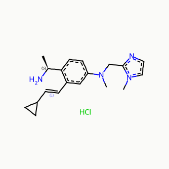 C[C@H](N)c1ccc(N(C)Cc2nccn2C)cc1/C=C/C1CC1.Cl